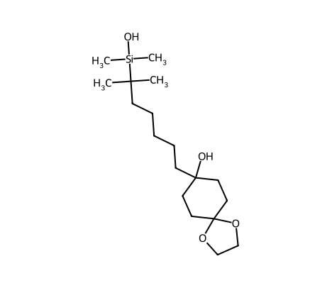 CC(C)(CCCCCC1(O)CCC2(CC1)OCCO2)[Si](C)(C)O